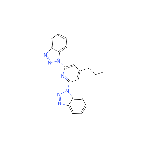 CCCc1cc(-n2nnc3ccccc32)nc(-n2nnc3ccccc32)c1